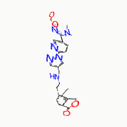 Cc1c(CCNCc2cnn(-c3ccc(/C(=N/OC=O)N(C)C)cn3)c2)ccc2c1COC2=O